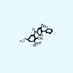 Cc1cc(C(=O)c2cnc(-c3ccccc3)c(N)c2)c(O)c([N+](=O)[O-])c1